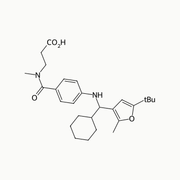 Cc1oc(C(C)(C)C)cc1C(Nc1ccc(C(=O)N(C)CCC(=O)O)cc1)C1CCCCC1